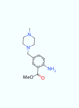 COC(=O)c1cc(CN2CCN(C)CC2)ccc1N